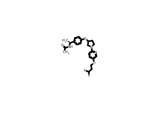 CC(=O)N[C@@H](C)c1ccc(OC2CCN(c3ccc(OCCC(F)F)cn3)C2)cc1